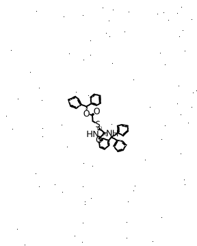 O=C(CS[C@@H]1NC(=O)[C@H]1NC(c1ccccc1)(c1ccccc1)c1ccccc1)OC(c1ccccc1)c1ccccc1